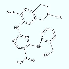 COc1cc2c(cc1Nc1ncc(C(N)=O)c(Nc3ccccc3CN)n1)CN(C)CC2